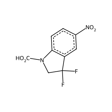 O=C(O)N1CC(F)(F)c2cc([N+](=O)[O-])ccc21